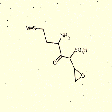 CSCCC(N)C(=O)[C](C1CO1)S(=O)(=O)O